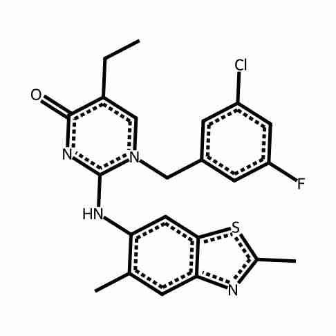 CCc1cn(Cc2cc(F)cc(Cl)c2)c(Nc2cc3sc(C)nc3cc2C)nc1=O